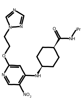 CC(C)NC(=O)[C@H]1CC[C@@H](Nc2cc(OCCn3cncn3)ncc2[N+](=O)[O-])CC1